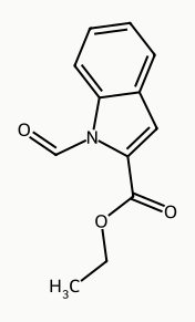 CCOC(=O)c1cc2ccccc2n1C=O